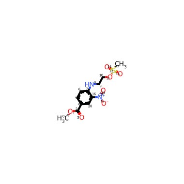 COC(=O)c1ccc(NCCOS(C)(=O)=O)c([N+](=O)[O-])c1